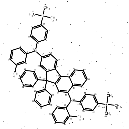 Cc1cccc(N(c2ccc([Si](C)(C)C)cc2)c2ccc3c(c2)C(c2ccccc2)(c2ccccc2)c2cc(N(c4ccc([Si](C)(C)C)cc4)c4ccccc4C)c4ccccc4c2-3)c1